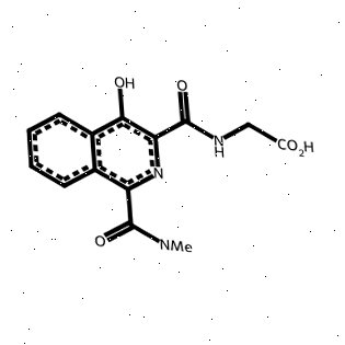 CNC(=O)c1nc(C(=O)NCC(=O)O)c(O)c2ccccc12